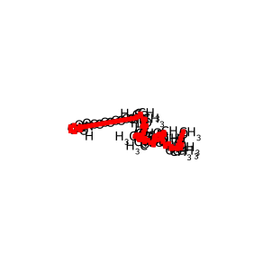 COCCOCCC(=O)N[C@H](C(=O)N[C@@H](C)C(=O)Nc1ccc(COC(=O)N2c3cc(OCCCCCOc4cc5c(cc4OC)C(=O)N4C=C(C)C[C@H]4[C@H](O)N5C(=O)OCc4ccc(NC(=O)[C@H](C)NC(=O)[C@@H](NC(=O)CCOCCOCCOCCOCCOCCOCCOCCOCCNC(=O)CCN5C(=O)CC(C6CCCCCCCCC6)C5=O)C(C)C)cc4)c(OC)cc3C(=O)N3C=C(C)C[C@H]3[C@@H]2O)cc1)C(C)C